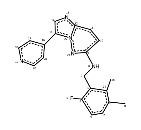 Cc1ccc(F)c(CNc2ccc3ncc(-c4ccncc4)n3n2)c1C